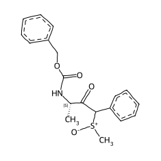 C[C@H](NC(=O)OCc1ccccc1)C(=O)C(c1ccccc1)[S+](C)[O-]